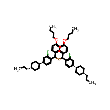 CCCCOc1ccc(C(SC(c2ccc(OCCCC)cc2)c2ccc([C@H]3CC[C@H](CCC)CC3)cc2F)c2ccc([C@H]3CC[C@H](CCC)CC3)cc2F)cc1